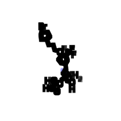 NC(/C=C/c1ccc(OCCCc2ccc(Br)cc2)c(C(F)(F)F)c1)(CO)COP(=O)(O)O